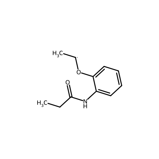 C[CH]Oc1ccccc1NC(=O)CC